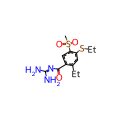 CCSc1cc(CC)c(C(=O)N=C(N)N)cc1S(C)(=O)=O